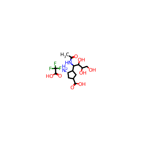 CC(=O)NC(C(O)C(O)CO)C1CC(C(=O)O)C[C@@H]1N.O=C(O)C(F)(F)F